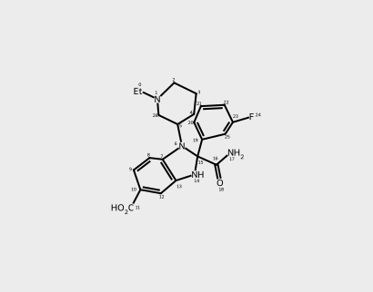 CCN1CCCC(N2c3ccc(C(=O)O)cc3NC2(C(N)=O)c2cccc(F)c2)C1